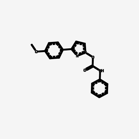 COc1ccc(-c2ccn(OC(=O)Nc3ccccc3)n2)cc1